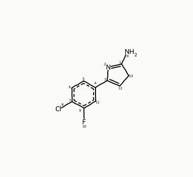 NC1=NC(c2ccc(Cl)c(F)c2)=CC1